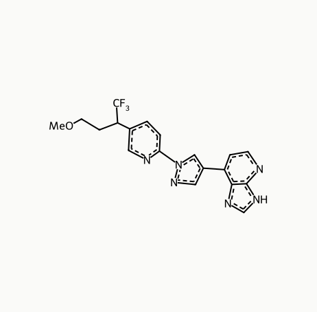 COCCC(c1ccc(-n2cc(-c3ccnc4[nH]cnc34)cn2)nc1)C(F)(F)F